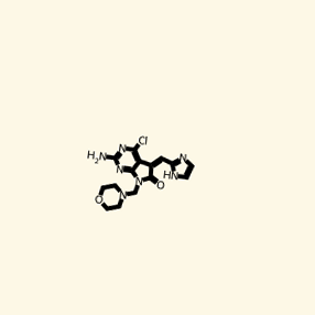 Nc1nc(Cl)c2c(n1)N(CN1CCOCC1)C(=O)C2=Cc1ncc[nH]1